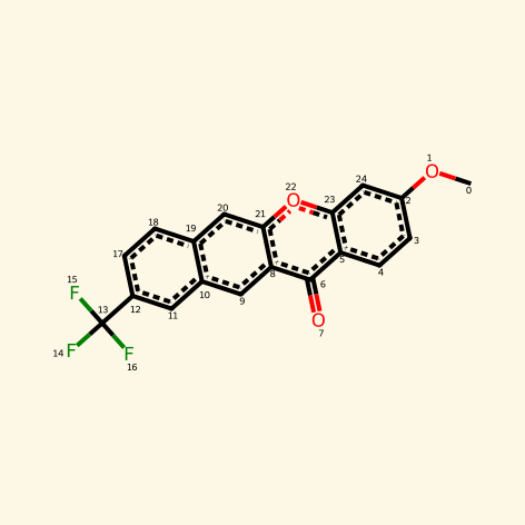 COc1ccc2c(=O)c3cc4cc(C(F)(F)F)ccc4cc3oc2c1